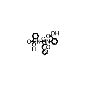 O=C(Nc1ccccc1C(=O)O)C(=Cc1cccs1)C(=O)Nc1ccccc1C(=O)O